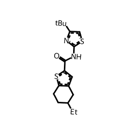 CCC1CCc2sc(C(=O)Nc3nc(C(C)(C)C)cs3)cc2C1